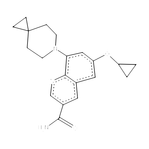 NC(=O)c1cnc2c(N3CCC4(CC3)CC4)cc(OC3CC3)cc2c1